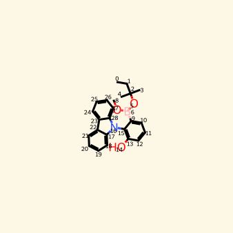 CCC(C)(C)OB(OC)c1cccc(O)c1-n1c2ccccc2c2ccccc21